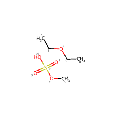 CCOCC.COS(=O)(=O)O